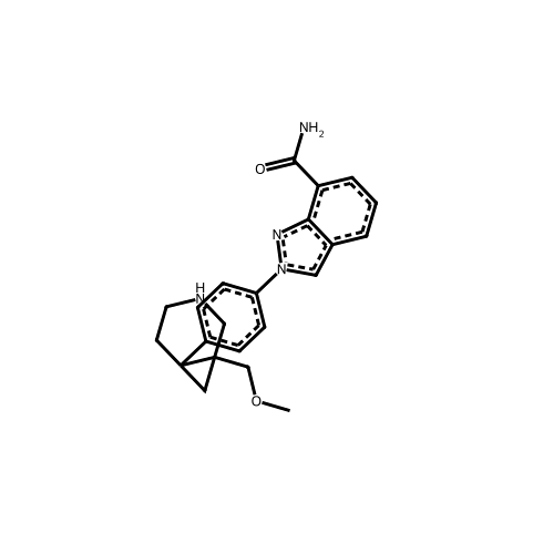 COCC12CNCCC1(c1ccc(-n3cc4cccc(C(N)=O)c4n3)cc1)C2